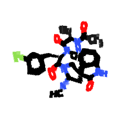 C#[N+][C@@H]1C[C@@]2(CN1C(=O)[C@H](Cc1cccc(F)c1)N(C)C(=O)[C@@H](NC(=O)C(F)(F)F)C(C)(C)C)C(=O)Nc1ccccc12